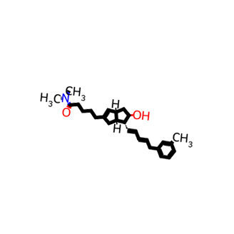 Cc1cccc(C/C=C/C=C/[C@@H]2[C@H]3CC(CCCCC(=O)N(C)C)=C[C@H]3C[C@H]2O)c1